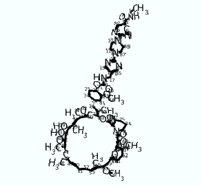 CCNC(=O)c1cnc(N2CCN(c3ncc(CNC(=O)O[C@@H]4CC[C@@H](C[C@@H](C)[C@@H]5CC(=O)[C@H](C)/C=C(\C)[C@@H](O)[C@@H](O)C(=O)[C@H](C)C[C@H](C)/C=C/C=C/C=C(\C)[C@@H](OC)C[C@@H]6CC[C@@H](C)[C@@](O)(O6)C(=O)C(=O)N6CCCC[C@H]6C(=O)O5)C[C@H]4OC)cn3)CC2)nc1